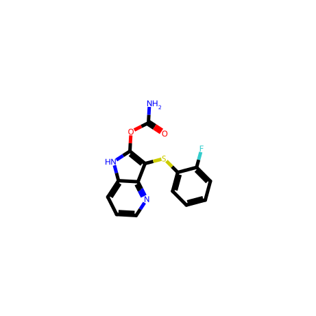 NC(=O)Oc1[nH]c2cccnc2c1Sc1ccccc1F